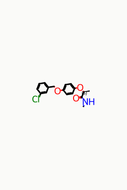 CNC(=O)[C@H](C)Oc1ccc(OCc2cccc(Cl)c2)cc1